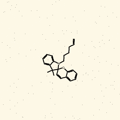 C=CCCCCN1c2ccccc2C(C)(C)C12C=Cc1ccccc1O2